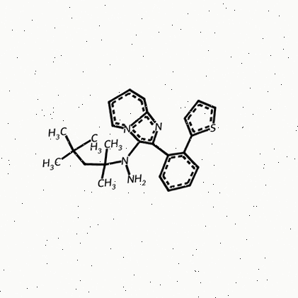 CC(C)(C)CC(C)(C)N(N)c1c(-c2ccccc2-c2cccs2)nc2ccccn12